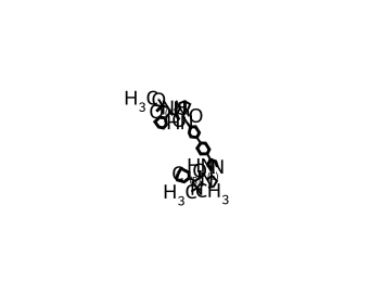 COC(=O)N[C@@H](C(=O)N1CCCC1C(=O)Nc1ccc(-c2ccc(-c3cnc([C@@H]4CCCN4C(=O)[C@@H](c4ccccc4)N(C)C)[nH]3)cc2)cc1)c1ccccc1